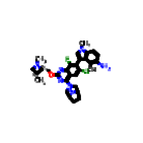 C[C@@H]1CN(C)[C@@H]1COc1nc(N2CC3CCC(C2)N3)c2cc(Cl)c(-c3cn(C)c4ccc(N)c(C#N)c34)c(F)c2n1